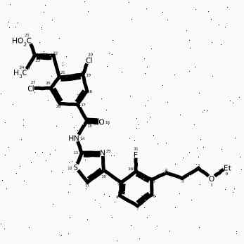 CCOCCCc1cccc(-c2csc(NC(=O)c3cc(Cl)c(/C=C(\C)C(=O)O)c(Cl)c3)n2)c1F